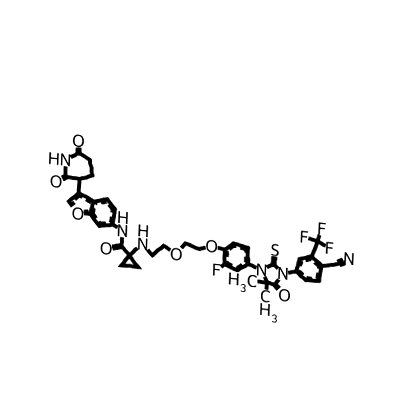 CC1(C)C(=O)N(c2ccc(C#N)c(C(F)(F)F)c2)C(=S)N1c1ccc(OCCOCCNC2(C(=O)Nc3ccc4c(C5CCC(=O)NC5=O)coc4c3)CC2)c(F)c1